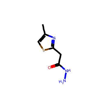 Cc1csc(CC(=O)NN)n1